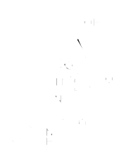 CO[C@@H]1C2OC[C@@]1(CO)O[C@H]2n1ccc(=O)[nH]c1=O